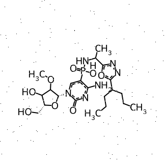 CCCC(CCC)c1nnc(C(C)NP(=O)(O)c2cn([C@@H]3O[C@H](CO)C(O)C3OC)c(=O)nc2N)o1